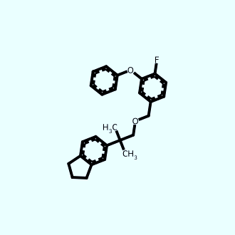 CC(C)(COCc1ccc(F)c(Oc2ccccc2)c1)c1ccc2c(c1)CCC2